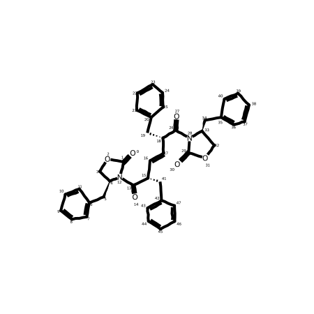 O=C1OC[C@H](Cc2ccccc2)N1C(=O)[C@H](C=C[C@H](Cc1ccccc1)C(=O)N1C(=O)OC[C@@H]1Cc1ccccc1)Cc1ccccc1